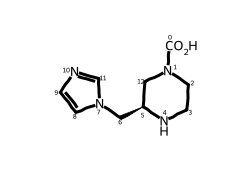 O=C(O)N1CCN[C@@H](Cn2ccnc2)C1